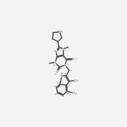 Cn1c(C2CCNC2)nc2c1c(=O)n(Cc1[nH]c3cccc(Cl)c3c1Cl)c(=O)n2C